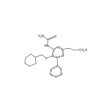 NC(=O)Nc1cc(CCC(=O)O)cc(-c2ccccc2)c1OCC1CCCCC1